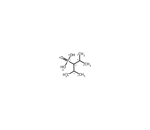 CC(C)[C](C(C)C)P(=O)(O)O